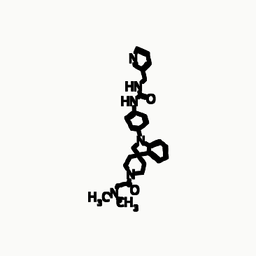 CN(C)CC(=O)N1CCC2(CC1)CN(c1ccc(NC(=O)NCc3cccnc3)cc1)c1ccccc12